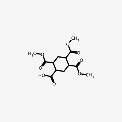 COC(=O)C1CC(C(=O)OC)C(C(=O)OC)CC1C(=O)O